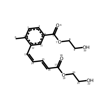 Cc1ccc(C(=O)OCCO)cc1/C=C\C=C\C(=O)OCCO